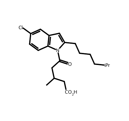 CC(C)CCCCc1cc2cc(Cl)ccc2n1C(=O)CC(C)CC(=O)O